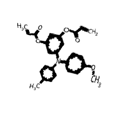 C=CC(=O)Oc1cc(OC(=O)C=C)cc(N(c2ccc(C)cc2)c2ccc(OC)cc2)c1